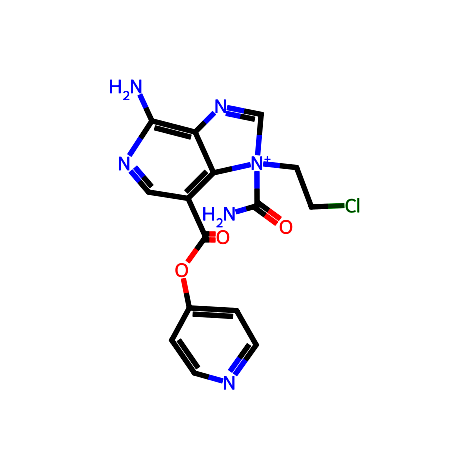 NC(=O)[N+]1(CCCl)C=Nc2c(N)ncc(C(=O)Oc3ccncc3)c21